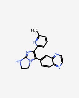 Cc1cccc(-c2nc3n(c2-c2ccc4nccnc4c2)CCN3)n1